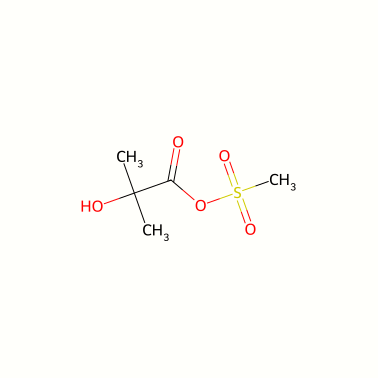 CC(C)(O)C(=O)OS(C)(=O)=O